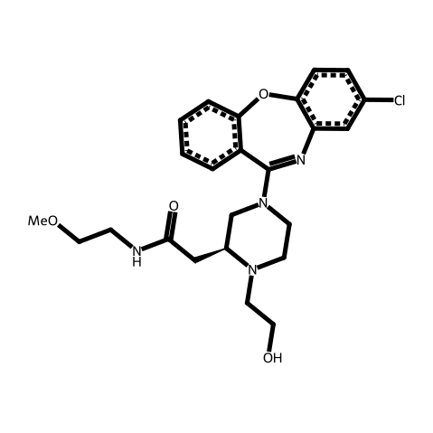 COCCNC(=O)C[C@H]1CN(C2=Nc3cc(Cl)ccc3Oc3ccccc32)CCN1CCO